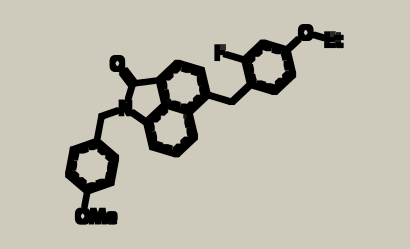 CCOc1ccc(Cc2ccc3c4c(cccc24)N(Cc2ccc(OC)cc2)C3=O)c(F)c1